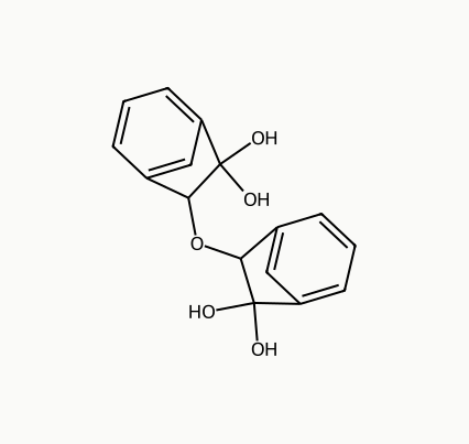 OC1(O)c2cccc(c2)C1OC1c2cccc(c2)C1(O)O